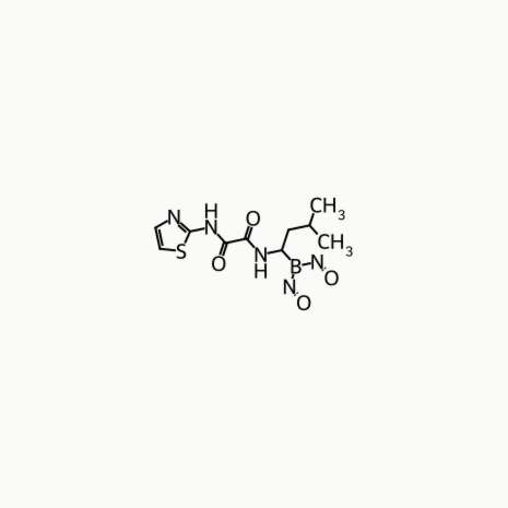 CC(C)CC(NC(=O)C(=O)Nc1nccs1)B(N=O)N=O